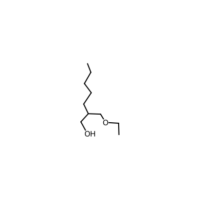 CCCCCC(CO)COCC